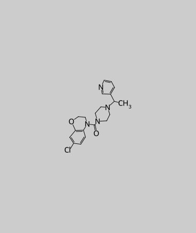 CC(c1cccnc1)N1CCN(C(=O)N2CCOc3cc(Cl)ccc32)CC1